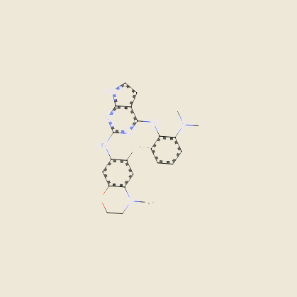 CCCCN1CCOc2cc(Nc3nc(Nc4ccccc4N(C)C)c4cc[nH]c4n3)c(OC)cc21